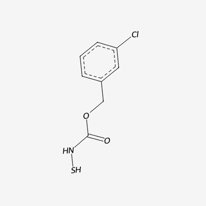 O=C(NS)OCc1cccc(Cl)c1